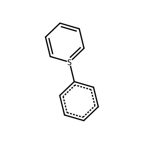 C1=CC=S(c2ccccc2)C=C1